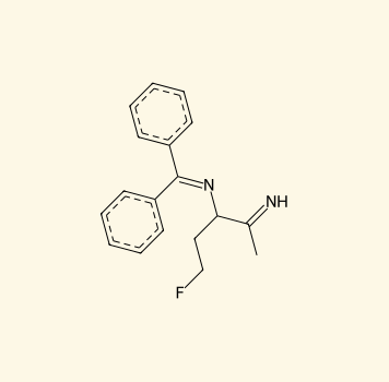 CC(=N)C(CCF)N=C(c1ccccc1)c1ccccc1